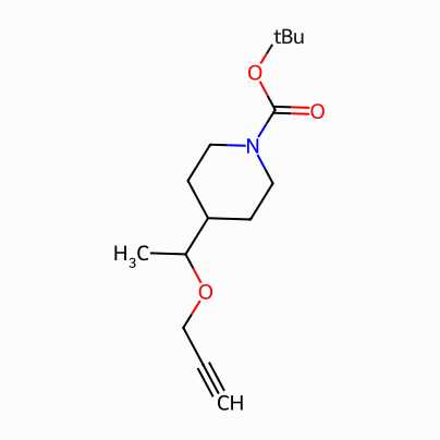 C#CCOC(C)C1CCN(C(=O)OC(C)(C)C)CC1